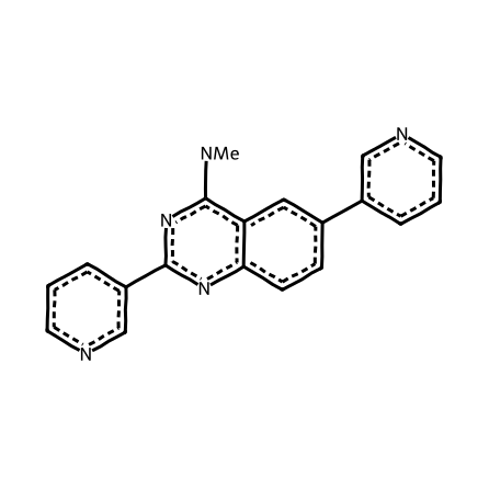 CNc1nc(-c2cccnc2)nc2ccc(-c3cccnc3)cc12